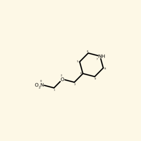 O=[N+]([O-])COCC1CCNCC1